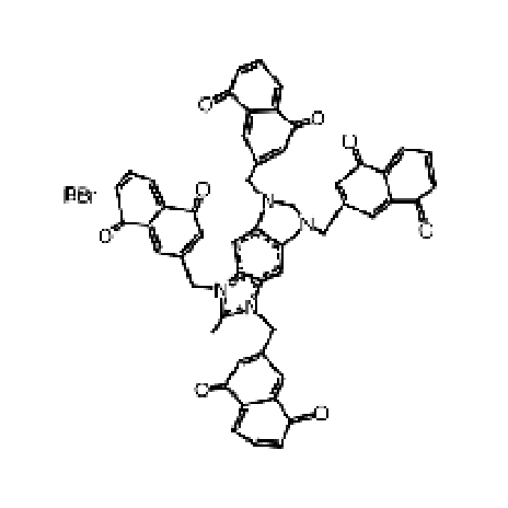 Br.Cc1n(CC2=CC(=O)C3=CC=CC(=O)C3=C2)c2cc3c(cc2[n+]1CC1=CC(=O)C2=CC=CC(=O)C2=C1)N(CC1=CC(=O)C2=CC=CC(=O)C2=C1)CN3CC1=CC(=O)C2=CC=CC(=O)C2=C1.[Br-]